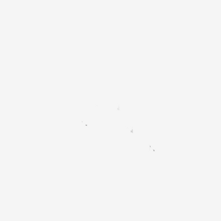 CN(C)[Si]1(C)CO[Si](C)(C)[Si](C)(C)[Si]1(C)C